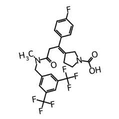 CN(Cc1cc(C(F)(F)F)cc(C(F)(F)F)c1)C(=O)CC(=C1CCN(C(=O)O)C1)c1ccc(F)cc1